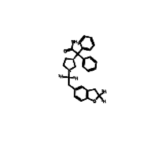 [2H]C1([2H])Cc2cc(CC([2H])([2H])N3CC[C@@H](C(C(N)=O)(c4ccccc4)c4ccccc4)C3)ccc2O1